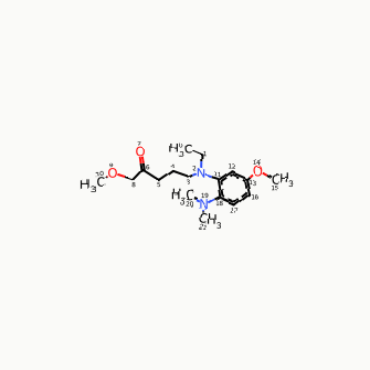 CCN(CCCC(=O)COC)c1cc(OC)ccc1N(C)C